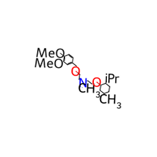 COc1ccc(COCCN(C)CCO[C@@H]2C[C@H](C)CC[C@H]2C(C)C)cc1OC